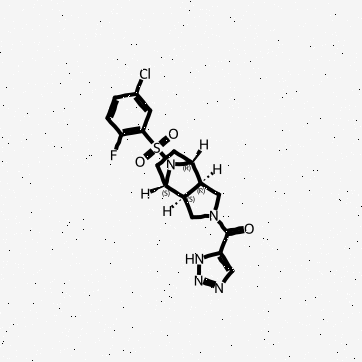 O=C(c1cnn[nH]1)N1C[C@@H]2[C@H](C1)[C@H]1CC[C@@H]2N1S(=O)(=O)c1cc(Cl)ccc1F